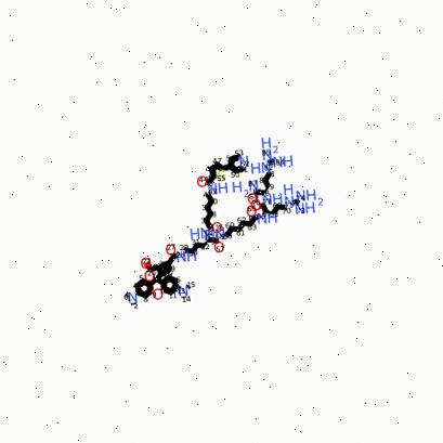 CN(C)c1ccc2c(c1)Oc1cc(N(C)C)ccc1C21OC(=O)c2cc(C(=O)NCCCC[C@@H](NC(=O)CCCCCNC(=O)c3ccc(-c4ccncc4)s3)C(=O)NCCCCCC(=O)N[C@H](CCCNC(=N)N)C(=O)N[C@H](CCCNC(=N)N)C(N)=O)ccc21